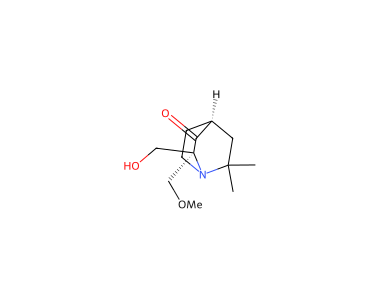 COC[C@]1(CO)C(=O)[C@H]2CCN1C(C)(C)C2